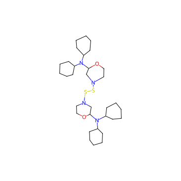 C1CCC(N(C2CCCCC2)C2CN(SSN3CCOC(N(C4CCCCC4)C4CCCCC4)C3)CCO2)CC1